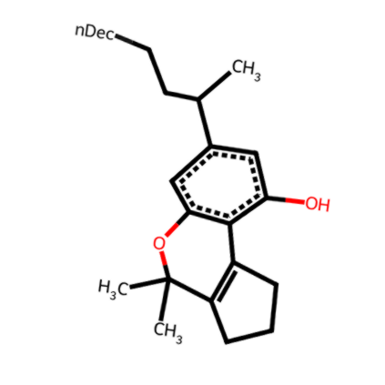 CCCCCCCCCCCCC(C)c1cc(O)c2c(c1)OC(C)(C)C1=C2CCC1